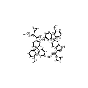 CON=C(c1n[nH]c2c1C=CC(c1ccccc1)(c1cccc(OC)c1)C2)C1CC1.COc1cccc(C2(c3ccccc3)C=Cc3c(C(=NO)C4CCC4)n[nH]c3C2)c1